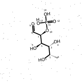 C[C@H](O)[C@@H](O)[C@@H](O)[C@@H](C=O)OP(=O)(O)O